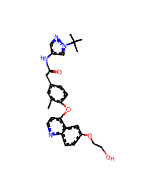 Cc1cc(CC(=O)Nc2cnn(C(C)(C)C)c2)ccc1Oc1ccnc2ccc(OCCO)cc12